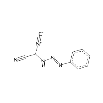 [C-]#[N+]C(C#N)NN=Nc1ccccc1